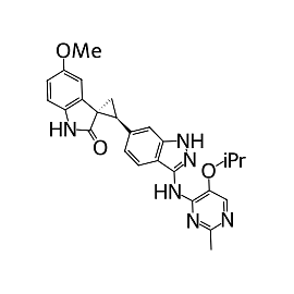 COc1ccc2c(c1)[C@]1(C[C@H]1c1ccc3c(Nc4nc(C)ncc4OC(C)C)n[nH]c3c1)C(=O)N2